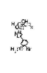 COc1cc(-c2cnn(C(=O)OC(C)(C)C)c2)ccc1Br